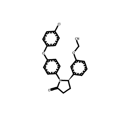 N#CCOc1cccc([C@H]2CCC(=O)N2c2ccc(Oc3ccc(Cl)cc3)cc2)c1